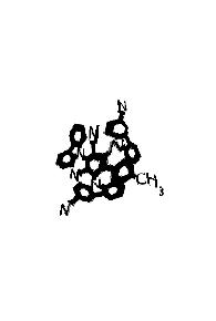 Cc1ccc(-c2c(-n3c4c(c5ccccc53)CC(C#N)C=C4)c(C#N)c(-n3c4ccccc4c4ccccc43)c(C#N)c2-n2c3ccccc3c3cc(C#N)ccc32)cc1